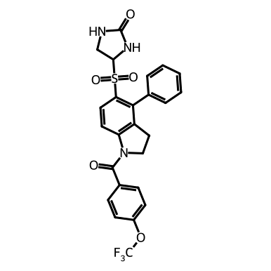 O=C1NCC(S(=O)(=O)c2ccc3c(c2-c2ccccc2)CCN3C(=O)c2ccc(OC(F)(F)F)cc2)N1